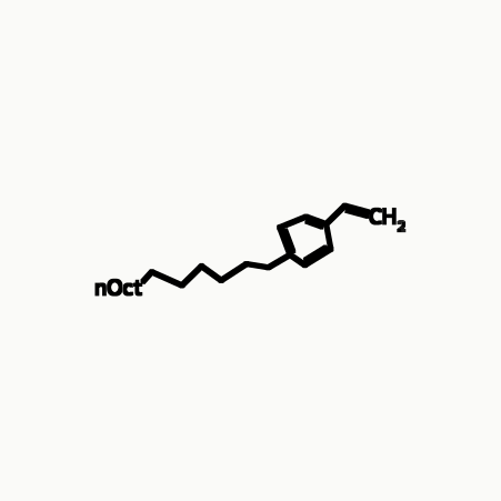 C=Cc1ccc(CCCCCCCCCCCCCC)cc1